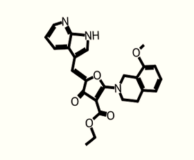 CCOC(=O)C1=C(N2CCc3cccc(OC)c3C2)O/C(=C\c2c[nH]c3ncccc23)C1=O